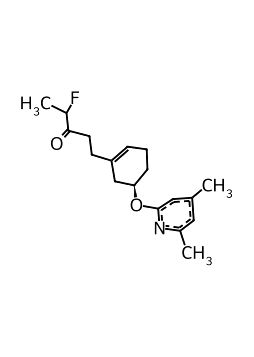 Cc1cc(C)nc(O[C@@H]2CCC=C(CCC(=O)C(C)F)C2)c1